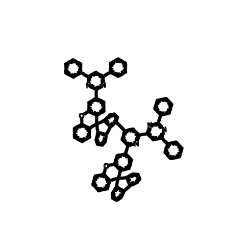 c1ccc(-c2cc(-c3ccccc3)nc(-c3ccc4c(c3)Oc3ccccc3C43c4ccccc4-c4c(-c5cc(-c6ccc7c(c6)Oc6ccccc6C76c7ccccc7-c7ccccc76)nc(-c6cc(-c7ccccc7)nc(-c7ccccc7)n6)c5)cccc43)n2)cc1